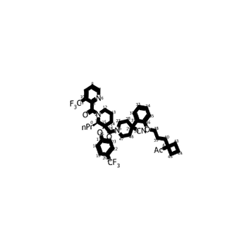 CCC[C@H]1N(C(=O)c2ncccc2C(F)(F)F)CCC[C@@]1(Oc1ccc(C(F)(F)F)cc1)C(=O)N1CCC(C#N)(c2ccccc2OCCCC2(C(C)=O)CCC2)CC1